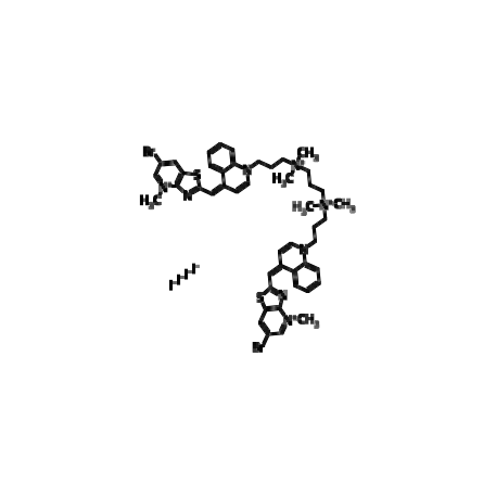 C[n+]1cc(Br)cc2sc(/C=C3/C=CN(CCC[N+](C)(C)CCC[N+](C)(C)CCCN4C=C/C(=C/c5nc6c(cc(Br)c[n+]6C)s5)c5ccccc54)c4ccccc43)nc21.[I-].[I-].[I-].[I-]